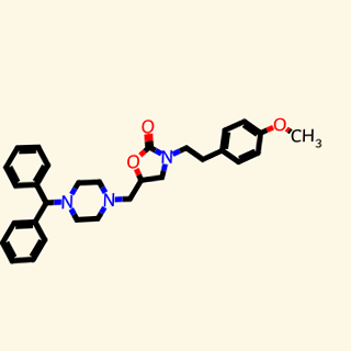 COc1ccc(CCN2CC(CN3CCN(C(c4ccccc4)c4ccccc4)CC3)OC2=O)cc1